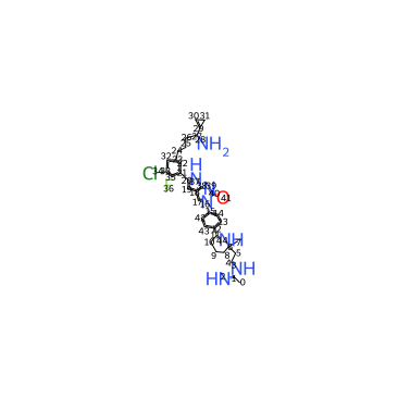 CC(=N)NCCC1(C)CCC[C@@H](c2ccc(-n3cc4cc(-c5cc(CCC[C@@H](N)C6=CC6)cc(Cl)c5F)[nH]c4nc3=O)cc2)N1